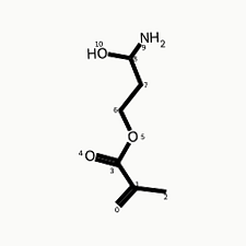 C=C(C)C(=O)OCCC(N)O